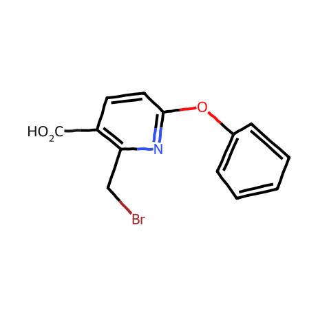 O=C(O)c1ccc(Oc2ccccc2)nc1CBr